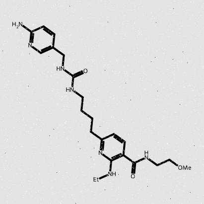 CCNc1nc(CCCCNC(=O)NCc2ccc(N)nc2)ccc1C(=O)NCCOC